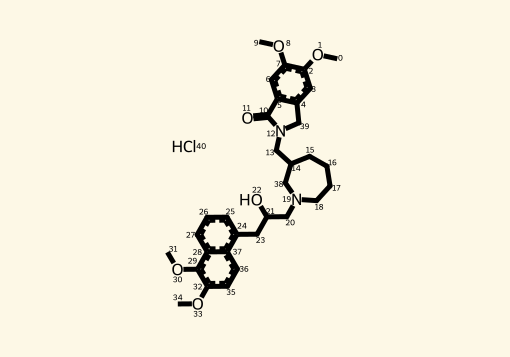 COc1cc2c(cc1OC)C(=O)N(CC1CCCCN(CC(O)Cc3cccc4c(OC)c(OC)ccc34)C1)C2.Cl